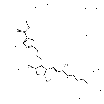 CCCCC[C@@H](O)C=C[C@@H]1[C@@H](CCCc2ccc(C(=O)OC)s2)[C@H](Cl)C[C@H]1O